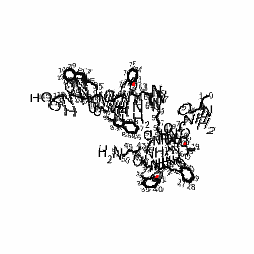 CC[C@@H](N)C(=O)NCC(=O)N[C@@H]1CC(C)N([C@H](CC(C)C)C(=O)NC(Cc2ccccc2)C(=O)N[C@H](Cc2ccccc2)C(=O)N[C@H](CCCCN)C(=O)N/C(=C/CCCn2cc(C[C@@H](N)C(=O)N[C@H](Cc3ccccc3)C(=O)N[C@H](Cc3cc4ccccc4[nH]3)C(=O)N[C@H](Cc3cc4ccccc4[nH]3)C(=O)NCC(=O)NCC(=O)O)nn2)C(=O)O)C1=O